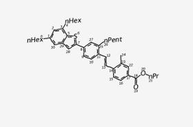 CCCCCCc1cc(CCCCCC)c2sc(-c3ccc(C=Cc4ccc(C(=O)OCCC)cc4C)c(CCCCC)c3)cc2c1